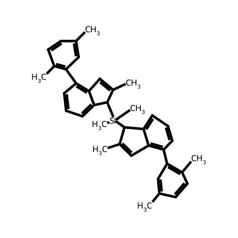 CC1=Cc2c(-c3cc(C)ccc3C)cccc2C1[Si](C)(C)C1C(C)=Cc2c(-c3cc(C)ccc3C)cccc21